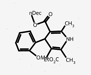 CCCCCCCCCCOC(=O)C1=C(C)NC(C)=C(C(=O)OCC)C1c1ccccc1OC